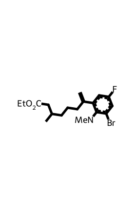 C=C(CCCC(C)CC(=O)OCC)c1cc(F)cc(Br)c1NC